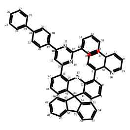 C1=CC2C=CC=C(c3cccc4c3Oc3c(-c5cc(-c6ccc(-c7ccccc7)cc6)nc(-c6ccccc6)n5)cccc3C43c4ccccc4-c4ccccc43)C2N=C1